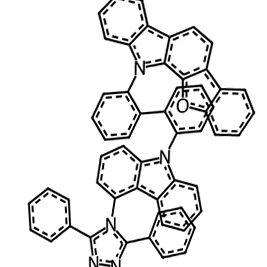 c1ccc(-c2nnc(-c3ccccc3)n2-c2cccc3c2c2ccccc2n3-c2ccccc2-c2ccccc2-n2c3ccccc3c3ccc4c5ccccc5oc4c32)cc1